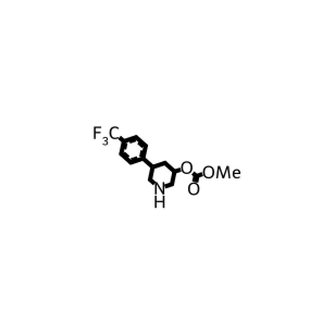 COC(=O)OC1CNCC(c2ccc(C(F)(F)F)cc2)C1